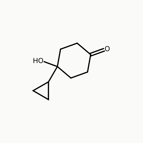 O=C1CCC(O)(C2CC2)CC1